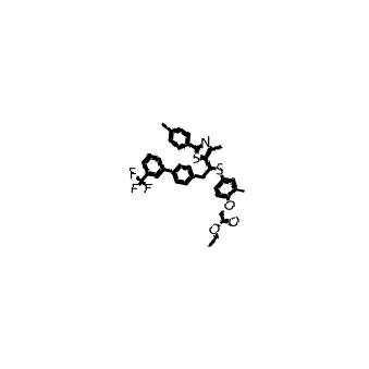 CCOC(=O)COc1ccc(SC(Cc2ccc(-c3cccc(C(F)(F)F)c3)cc2)c2sc(-c3ccc(C)cc3)nc2C)cc1C